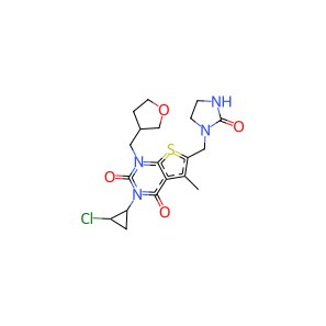 Cc1c(CN2CCNC2=O)sc2c1c(=O)n(C1CC1Cl)c(=O)n2CC1CCOC1